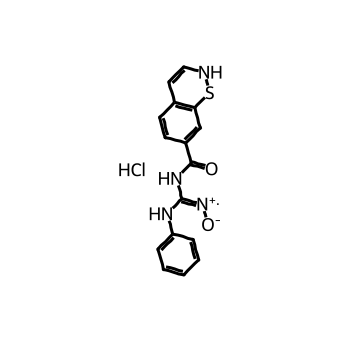 Cl.O=C(NC(=[N+][O-])Nc1ccccc1)c1ccc2c(c1)SNC=C2